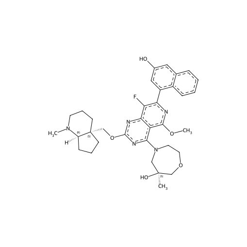 COc1nc(-c2cc(O)cc3ccccc23)c(F)c2nc(OC[C@]34CCC[C@H]3N(C)CCC4)nc(N3CCOC[C@@](C)(O)C3)c12